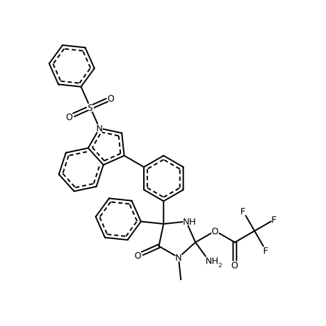 CN1C(=O)C(c2ccccc2)(c2cccc(-c3cn(S(=O)(=O)c4ccccc4)c4ccccc34)c2)NC1(N)OC(=O)C(F)(F)F